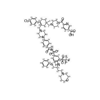 CC1(CN2CCN(C(=O)c3ccc(C(=O)O)cn3)CC2)CCC(c2ccc(Cl)cc2)=C(CN2CCN(c3ccc(C(=O)NS(=O)(=O)c4ccc(NC(CCN5CCCOCC5)CSc5ccccc5)c(S(=O)(=O)C(F)(F)F)c4)cc3)CC2)C1